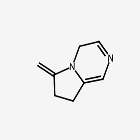 C=C1CCC2=CN=CCN12